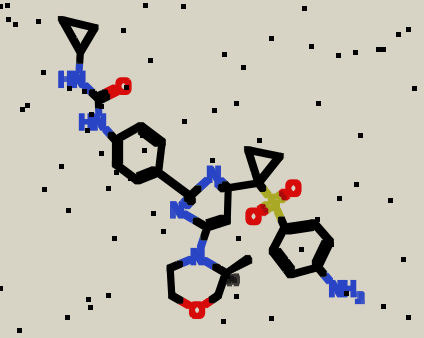 C[C@H]1COCCN1c1cc(C2(S(=O)(=O)c3ccc(N)cc3)CC2)nc(-c2ccc(NC(=O)NC3CC3)cc2)n1